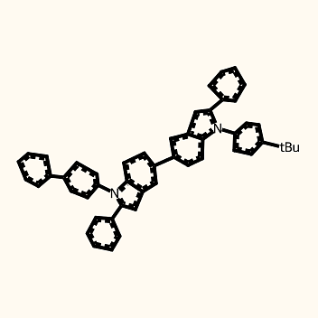 CC(C)(C)c1ccc(-n2c(-c3ccccc3)cc3cc(-c4ccc5c(c4)cc(-c4ccccc4)n5-c4ccc(-c5ccccc5)cc4)ccc32)cc1